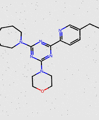 CCc1ccc(-c2nc(N3CCCCCC3)nc(N3CCOCC3)n2)nc1